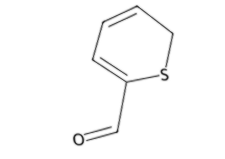 O=CC1=CC=CCS1